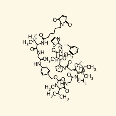 CC[C@H](C)[C@@H]([C@@H](CC(=O)N1CCC[C@H]1[C@H](OC)[C@@H](C)C(=O)N[C@@H](Cc1ccccc1)c1nccs1)OC)N(C)C(=O)CNC(=O)C(C(C)C)N(C)C(=O)OCc1ccc(NC(=O)CNC(=O)C(NC(=O)CCCCCN2C(=O)C=CC2=O)C(C)C)cc1